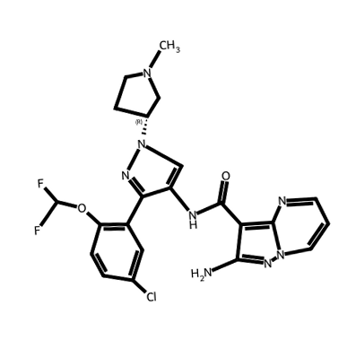 CN1CC[C@@H](n2cc(NC(=O)c3c(N)nn4cccnc34)c(-c3cc(Cl)ccc3OC(F)F)n2)C1